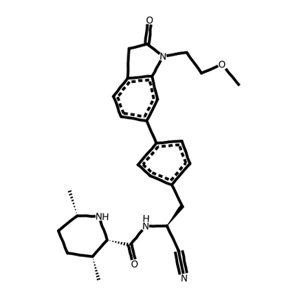 COCCN1C(=O)Cc2ccc(-c3ccc(C[C@@H](C#N)NC(=O)[C@H]4N[C@@H](C)CC[C@H]4C)cc3)cc21